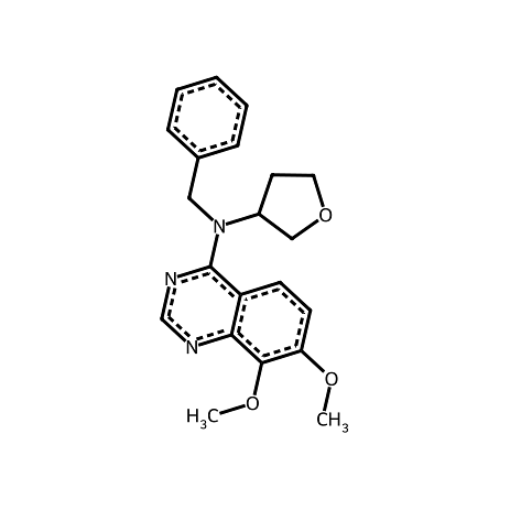 COc1ccc2c(N(Cc3ccccc3)C3CCOC3)ncnc2c1OC